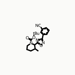 CC1CCCN(C(=O)OC(C)(C)C)C1c1nc(-c2cccc(C#N)c2)no1